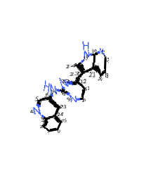 c1ccc2ncc(Nc3nccc(-c4c[nH]c5ncccc45)n3)cc2c1